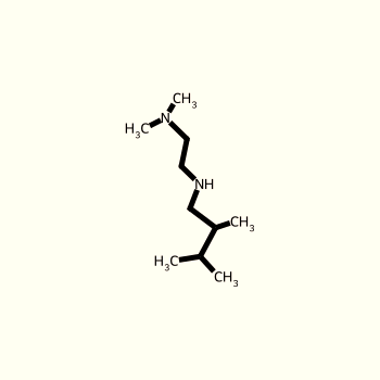 CC(C)C(C)CNCCN(C)C